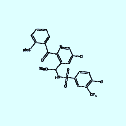 COC(NS(=O)(=O)c1ccc(Cl)c(C(F)(F)F)c1)c1cc(Cl)cnc1C(=O)c1ccccc1SC